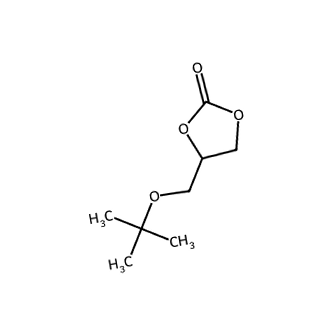 CC(C)(C)OCC1COC(=O)O1